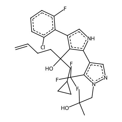 C=CCCC(O)(CC1CC1)c1c(-c2c(F)cccc2Cl)c[nH]c1-c1cnn(CC(C)(C)O)c1C(F)(F)F